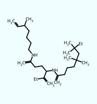 C=CC(C)CCCCNC(=C)CCC(NC(=C)CCCC(C)(C)CC(C)(C)CC)C(=C)CC